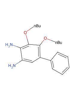 CCCCOc1c(-c2ccccc2)cc(N)c(N)c1OCCCC